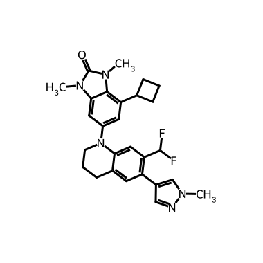 Cn1cc(-c2cc3c(cc2C(F)F)N(c2cc(C4CCC4)c4c(c2)n(C)c(=O)n4C)CCC3)cn1